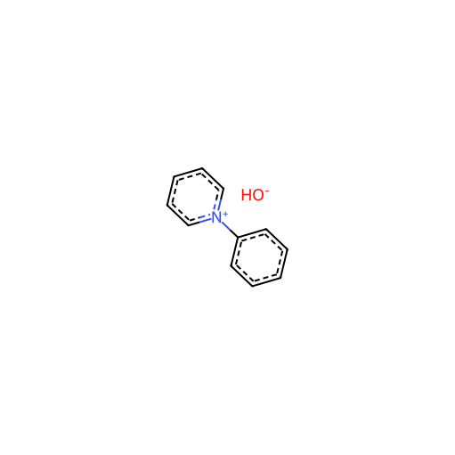 [OH-].c1ccc(-[n+]2ccccc2)cc1